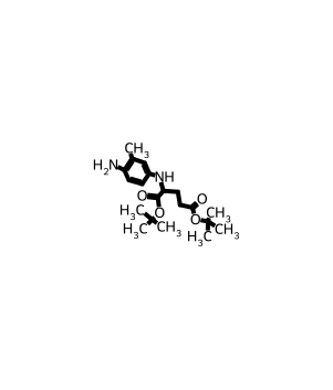 Cc1cc(NC(CCC(=O)OC(C)(C)C)C(=O)OC(C)(C)C)ccc1N